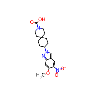 COc1cc2nn(C3CCC4(CC3)CCN(C(=O)O)CC4)cc2cc1[N+](=O)[O-]